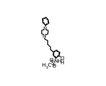 CS(=O)(=O)Nc1cc(CCCCCN2CCN(c3ccccc3)CC2)ccc1O